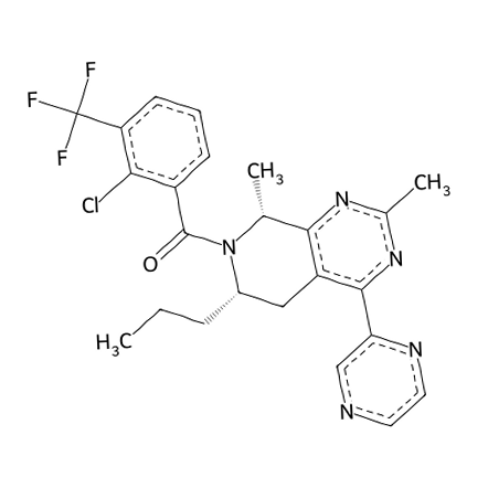 CCC[C@H]1Cc2c(-c3cnccn3)nc(C)nc2[C@@H](C)N1C(=O)c1cccc(C(F)(F)F)c1Cl